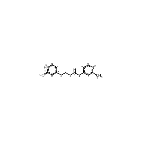 Cc1cc(CNCCCc2cc[nH]c(=O)c2)ccn1